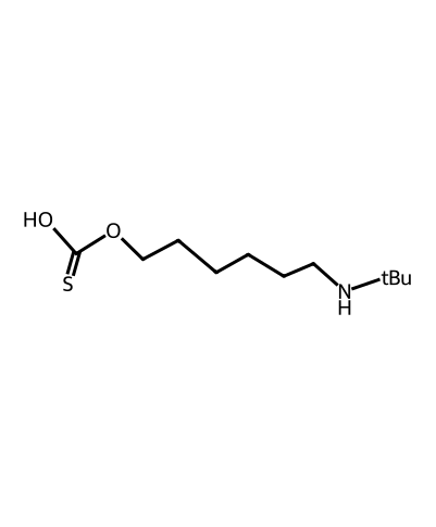 CC(C)(C)NCCCCCCOC(O)=S